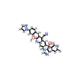 COc1nc2ccc(C(O)(c3ccc(C)nc3)c3cncn3C)cc2c(C#N)c1Cc1ccc(-n2cccn2)cc1